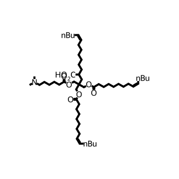 CCCC/C=C\CCCCCCCC(=O)OCC(COC(=O)CCCCCCC/C=C\CCCC)(COC(=O)CCCCCN(C)C)CC(CCCCCC/C=C\CCCC)C(=O)O